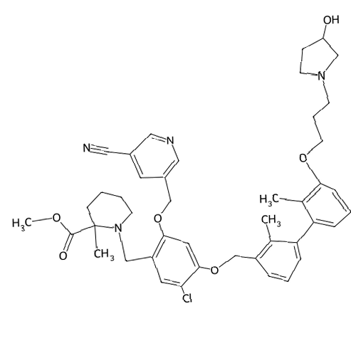 COC(=O)C1(C)CCCCN1Cc1cc(Cl)c(OCc2cccc(-c3cccc(OCCCN4CCC(O)C4)c3C)c2C)cc1OCc1cncc(C#N)c1